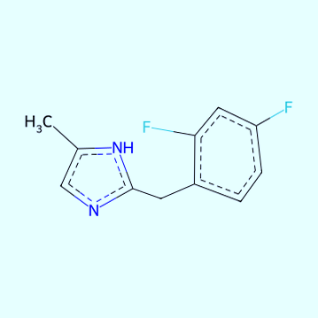 Cc1cnc(Cc2ccc(F)cc2F)[nH]1